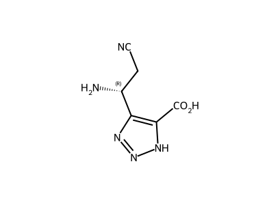 N#CC[C@@H](N)c1nn[nH]c1C(=O)O